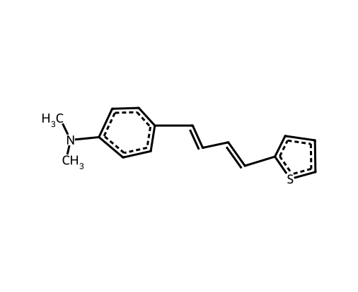 CN(C)c1ccc(/C=C/C=C/c2cccs2)cc1